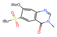 COc1cc2ncn(C)c(=O)c2cc1S(=O)(=O)C(C)(C)C